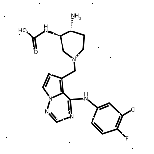 N[C@@H]1CCN(Cc2ccn3ncnc(Nc4ccc(F)c(Cl)c4)c23)C[C@H]1NC(=O)O